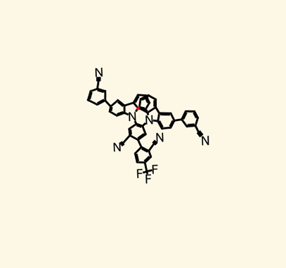 N#Cc1cccc(-c2ccc3c(c2)c2ccccc2n3-c2cc(C#N)c(-c3ccc(C(F)(F)F)cc3C#N)cc2-n2c3ccccc3c3cc(-c4cccc(C#N)c4)ccc32)c1